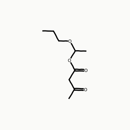 CCCOC(C)OC(=O)CC(C)=O